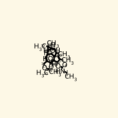 CCNC(=O)O[C@H]1C(C)=C[C@]23C(O)[C@@H](C=C4COC(C)(C)O[C@H]4[C@]12O)[C@H]1[C@@H](C[C@H]3C)C1(C)C